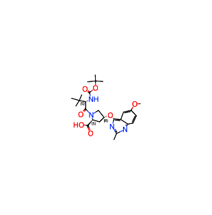 COc1ccc2nc(C)nc(O[C@@H]3C[C@@H](C(=O)O)N(C(=O)[C@@H](NC(=O)OC(C)(C)C)C(C)(C)C)C3)c2c1